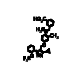 Cc1cc(OCc2c(C3CC3)nnn2-c2ccccc2OC(F)(F)F)ccc1N(C)Cc1cccc(C(=O)O)c1